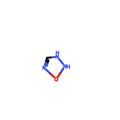 C1=NONN1